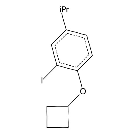 CC(C)c1ccc(OC2CCC2)c(I)c1